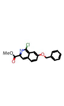 COC(=O)c1cc2ccc(OCc3ccccc3)cc2c(Cl)n1